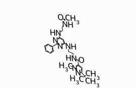 CC(=O)NCCNc1cc(NCCNC(=O)c2cc(C(C)(C)C)nn2C)nc(-c2ccccc2)n1